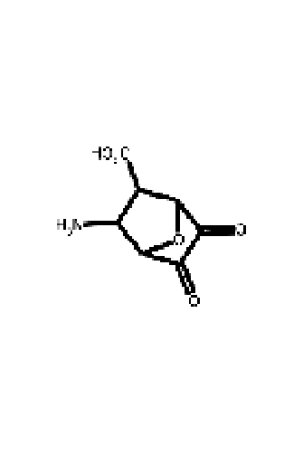 NC1C2OC(C(=O)C2=O)C1C(=O)O